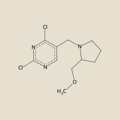 COCC1CCCN1Cc1cnc(Cl)nc1Cl